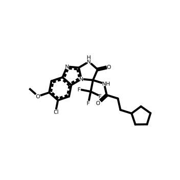 COc1cc2nc3n(c2cc1Cl)C(NC(=O)CCC1CCCC1)(C(F)(F)F)C(=O)N3